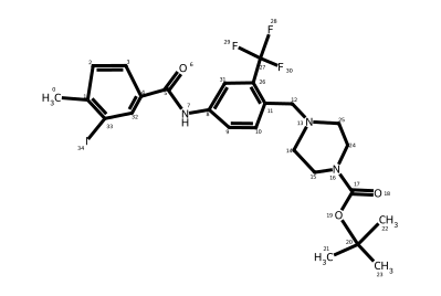 Cc1ccc(C(=O)Nc2ccc(CN3CCN(C(=O)OC(C)(C)C)CC3)c(C(F)(F)F)c2)cc1I